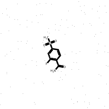 CS(=O)(=O)c1ccc(C(N)=O)c(F)c1